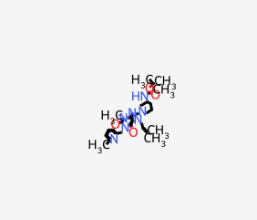 CC(C)=CCn1c(N2CCCC(NC(=O)OC(C)(C)C)C2)nc2c1c(=O)n(Cc1cccc(C)n1)c(=O)n2C